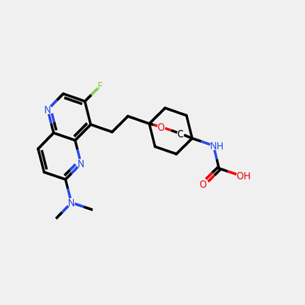 CN(C)c1ccc2ncc(F)c(CCC34CCC(NC(=O)O)(CC3)CO4)c2n1